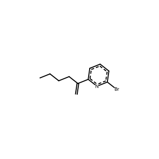 C=C(CCCC)c1cccc(Br)n1